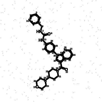 O=C(NCc1cccnc1)Nc1ccc(-n2cc(C(=O)N3CCC(N4CCOCC4)CC3)c3cccnc32)cc1